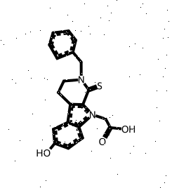 O=C(O)Cn1c2c(c3cc(O)ccc31)CCN(Cc1ccccc1)C2=S